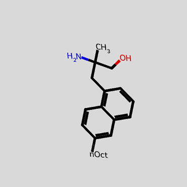 CCCCCCCCc1ccc2c(CC(C)(N)CO)cccc2c1